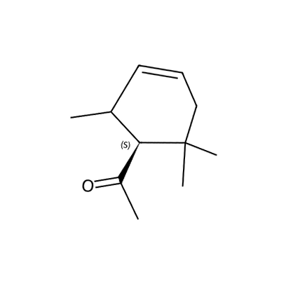 CC(=O)[C@H]1C(C)C=CCC1(C)C